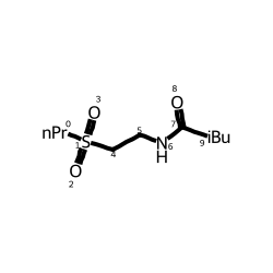 CCCS(=O)(=O)CCNC(=O)C(C)CC